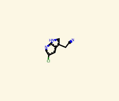 N#CCc1c[nH]c2ncc(Cl)cc12